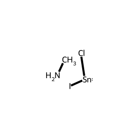 CN.[Cl][Sn][I]